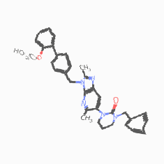 Cc1nc2c(cc1N1CCCN(Cc3ccccc3)C1=O)nc(C)n2Cc1ccc(-c2ccccc2OC(=O)O)cc1